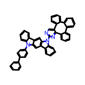 c1ccc(-c2ccc(-n3c4ccccc4c4cc5c(cc43)c3ccccc3n5-c3ncc4c(n3)-c3ccccc3-c3ccccc3-c3ccccc3-4)cc2)cc1